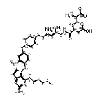 CCCCCNc1nc(N)nc2ccn(Cc3ccc(CN4CCN(CCN(N)/C=C(\N)CNC(=O)C(CC(=O)O)SCC(N)C(=O)O)CC4)cc3OC)c12